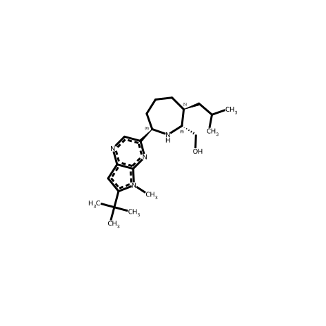 CC(C)C[C@@H]1CCC[C@H](c2cnc3cc(C(C)(C)C)n(C)c3n2)N[C@H]1CO